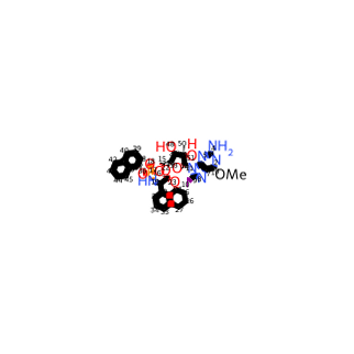 COc1nc(N)nc2c1nc(I)n2[C@@H]1O[C@H](COP(=O)(NC(C(=O)OC2CCCCC2)c2ccccc2)Oc2cccc3ccccc23)[C@@H](O)[C@@]1(C)O